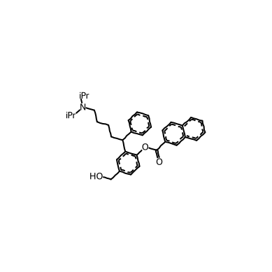 CC(C)N(CCCCC(c1ccccc1)c1cc(CO)ccc1OC(=O)c1ccc2ccccc2c1)C(C)C